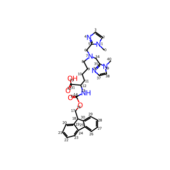 Cn1ccnc1CN(CCCCC(NC(=O)OCC1c2ccccc2-c2ccccc21)C(=O)O)Cc1nccn1C